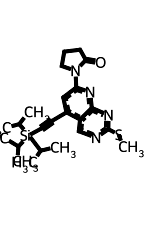 CSc1ncc2c(C#C[Si](C(C)C)(C(C)C)C(C)C)cc(N3CCCC3=O)nc2n1